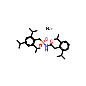 CC(C)c1cc(C(C)C)c(CS(=O)(=O)NC(=O)Cc2c(C(C)C)cccc2C(C)C)c(C(C)C)c1.[Na]